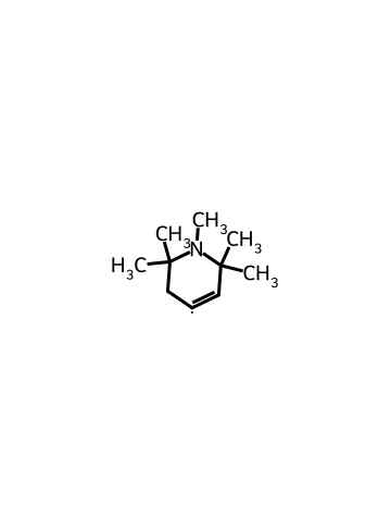 CN1C(C)(C)C=[C]CC1(C)C